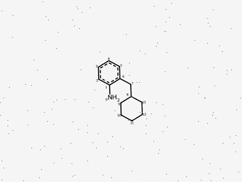 Nc1ccccc1CC1CCCCC1